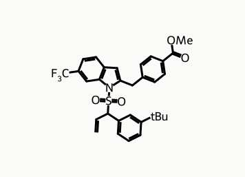 C=CC(c1cccc(C(C)(C)C)c1)S(=O)(=O)n1c(Cc2ccc(C(=O)OC)cc2)cc2ccc(C(F)(F)F)cc21